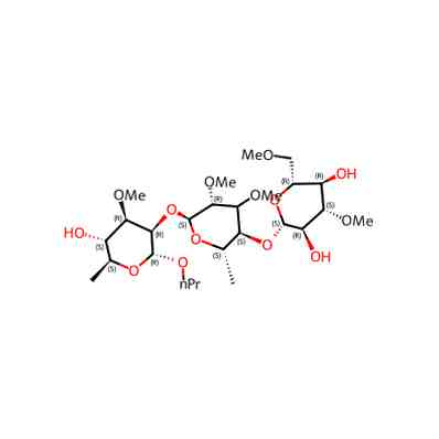 CCCO[C@@H]1O[C@@H](C)[C@H](O)[C@@H](OC)[C@H]1O[C@@H]1O[C@@H](C)[C@H](O[C@@H]2O[C@H](COC)[C@@H](O)[C@H](OC)[C@H]2O)C(OC)[C@H]1OC